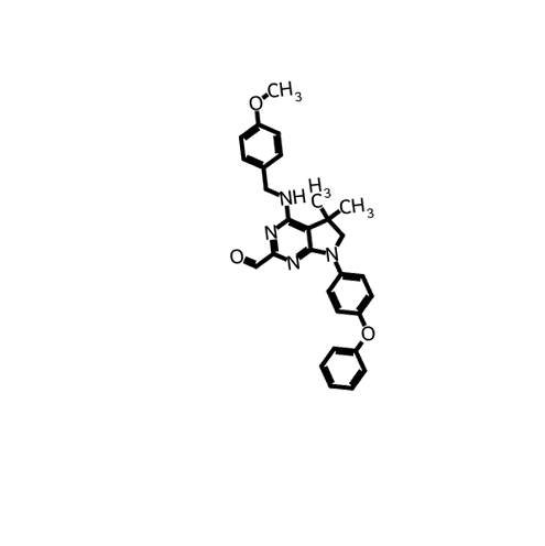 COc1ccc(CNc2nc(C=O)nc3c2C(C)(C)CN3c2ccc(Oc3ccccc3)cc2)cc1